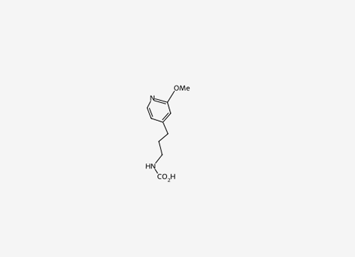 COc1cc(CCCNC(=O)O)ccn1